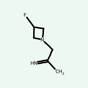 CC(=N)CN1CC(F)C1